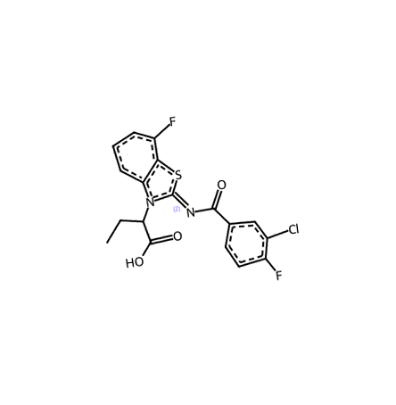 CCC(C(=O)O)n1/c(=N/C(=O)c2ccc(F)c(Cl)c2)sc2c(F)cccc21